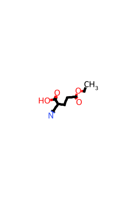 CCOC(=O)CCC(C#N)C(=O)O